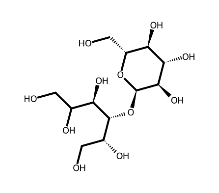 OCC(O)[C@@H](O)[C@H](O[C@H]1O[C@H](CO)[C@@H](O)[C@H](O)[C@H]1O)[C@H](O)CO